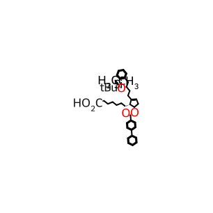 CC(C)(C)[Si](C)(C)OC(CCC1=CC[C@H](OC(=O)c2ccc(-c3ccccc3)cc2)[C@@H]1CCCCCCC(=O)O)Cc1ccccc1